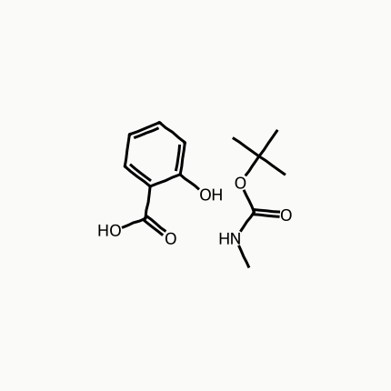 CNC(=O)OC(C)(C)C.O=C(O)c1ccccc1O